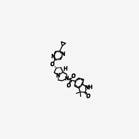 CC1(C)C(=O)Nc2ccc(S(=O)(=O)N3CCN4C[C@H](Oc5cnc(C6CC6)cn5)C[C@H]4C3)cc21